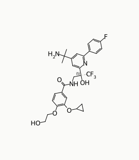 CC(C)(N)c1cc(-c2ccc(F)cc2)nc([C@@](O)(CNC(=O)c2ccc(OCCO)c(OC3CC3)c2)C(F)(F)F)c1